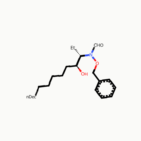 CCCCCCCCCCCCCCC[C@H](O)[C@H](CC)N(C=O)OCc1ccccc1